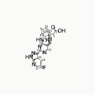 O=C(O)C[C@H]1C2CCC(CC2)[C@@H]1Nc1nc(-c2n[nH]c3ncc(F)cc23)ncc1F